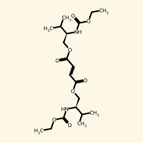 CCOC(=O)N[C@@H](COC(=O)/C=C/C(=O)OC[C@H](NC(=O)OCC)C(C)C)C(C)C